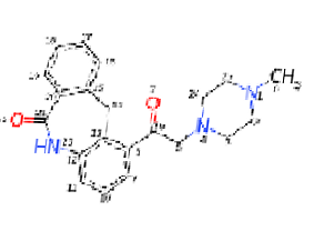 CN1CCN(CC(=O)c2cccc3c2Cc2ccccc2C(=O)N3)CC1